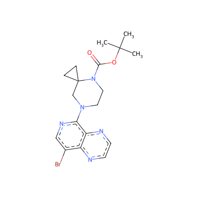 CC(C)(C)OC(=O)N1CCN(c2ncc(Br)c3nccnc23)CC12CC2